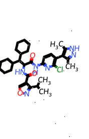 Cc1n[nH]c(C)c1-c1ccc(NC(=O)C(NC(=O)c2conc2C(C)C)C(C2CCCCC2)C2CCCCC2)nc1Cl